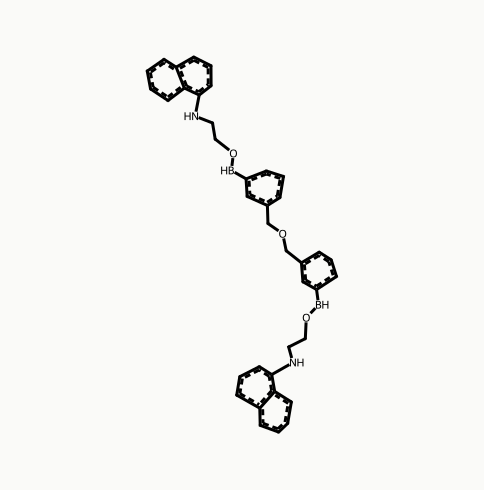 B(OCCNc1cccc2ccccc12)c1cccc(COCc2cccc(BOCCNc3cccc4ccccc34)c2)c1